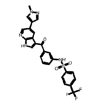 Cn1cc(-c2cnc3[nH]cc(C(=O)c4cccc(NS(=O)(=O)c5ccc(C(F)(F)F)cc5)c4)c3c2)cn1